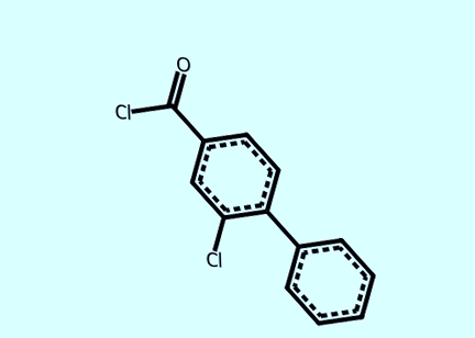 O=C(Cl)c1ccc(-c2ccccc2)c(Cl)c1